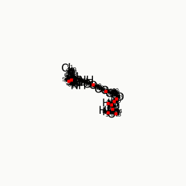 CN[C@@H](C)C(=O)N[C@H](C(=O)N1CCC[C@H]1c1nc(C(=O)c2cccc(OCCOCCOCCOCCOCCNC(=O)C[C@@H]3N=C(c4ccc(Cl)cc4)c4c(sc(C)c4C)N(C(C)=N)C3=N)c2)cs1)C1CCCCC1